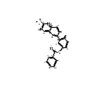 Cc1ccc(NC(=O)c2ccccc2)cc1-c1ccc2nc(N)ncc2c1